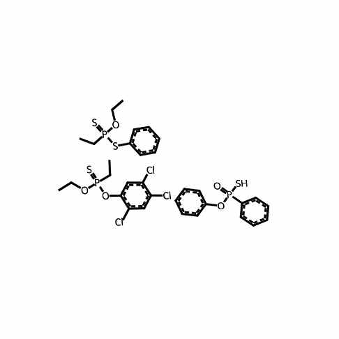 CCOP(=S)(CC)Oc1cc(Cl)c(Cl)cc1Cl.CCOP(=S)(CC)Sc1ccccc1.O=P(S)(Oc1ccccc1)c1ccccc1